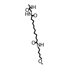 CNC(=O)CNC(=O)CCCCCCCCCCC(=O)NCCCCCCOC